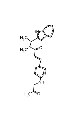 CC(=O)CNc1ccc(/C=C/C(=O)N(C)C(C)c2cc3ccccc3[nH]2)cn1